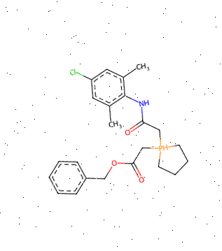 Cc1cc(Cl)cc(C)c1NC(=O)C[PH]1(CC(=O)OCc2ccccc2)CCCC1